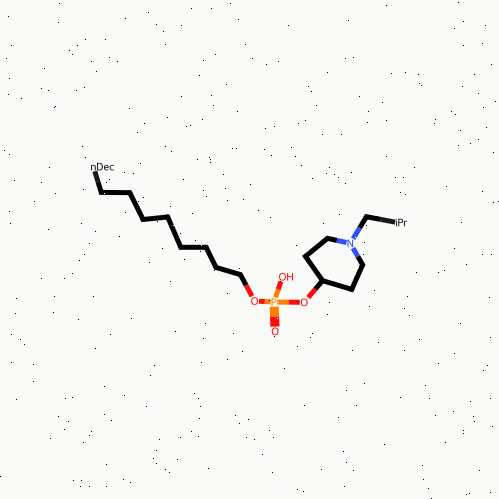 CCCCCCCCCCCCCCCCCCOP(=O)(O)OC1CCN(CC(C)C)CC1